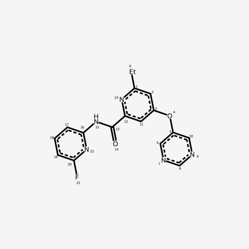 CCc1cc(Oc2cncnc2)cc(C(=O)Nc2cccc(F)n2)n1